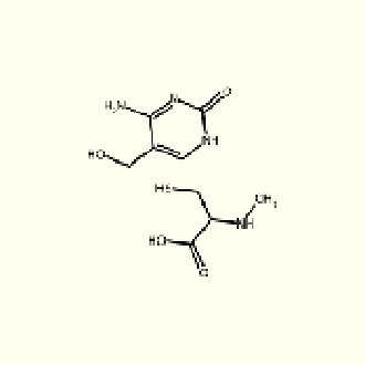 CNC(CS)C(=O)O.Nc1nc(=O)[nH]cc1CO